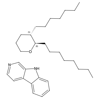 CCCCCCCC[C@H]1OCCC[C@@H]1CCCCCCC.c1ccc2c(c1)[nH]c1cnccc12